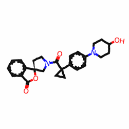 O=C1O[C@]2(CCN(C(=O)C3(c4ccc(N5CCC(O)CC5)cc4)CC3)C2)c2ccccc21